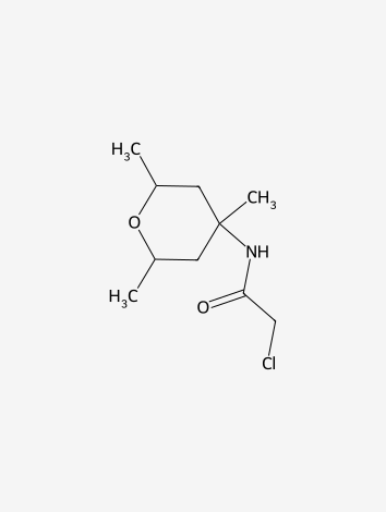 CC1CC(C)(NC(=O)CCl)CC(C)O1